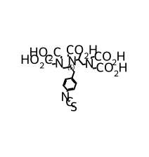 CC(CN(CC(=O)O)CC(=O)O)N(CC(=O)O)[C@@H](Cc1ccc(N=C=S)cc1)CN(CC(=O)O)CC(=O)O